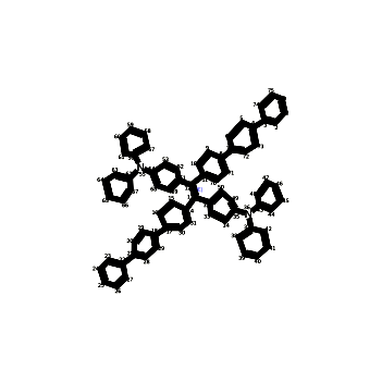 c1ccc(-c2ccc(-c3ccc(/C(=C(/c4ccc(-c5ccc(-c6ccccc6)cc5)cc4)c4ccc(N(c5ccccc5)c5ccccc5)cc4)c4ccc(N(c5ccccc5)c5ccccc5)cc4)cc3)cc2)cc1